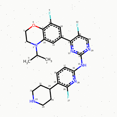 CC(C)N1CCOc2c(F)cc(-c3nc(Nc4ccc(C5CCNCC5)c(F)n4)ncc3F)cc21